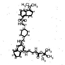 CN(C)c1cccc2c(S(=O)(=O)NC[C@H]3CC[C@H](CNc4nc(NCCNC(=O)OC(C)(C)C)c5ccccc5n4)CC3)cccc12